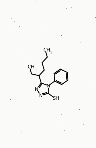 CCCCC(CC)c1nnc(S)n1-c1ccccc1